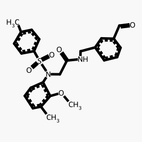 COc1c(C)cccc1N(CC(=O)NCc1cccc(C=O)c1)S(=O)(=O)c1ccc(C)cc1